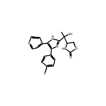 CC(S)(c1nc(-c2ccc(F)cc2)c(-c2ccncc2)[nH]1)C1COC(=O)N1